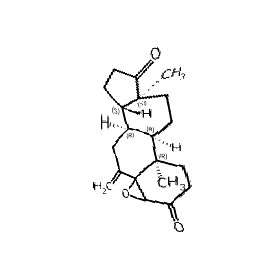 C=C1C[C@@H]2[C@@H](CC[C@]3(C)C(=O)CC[C@@H]23)[C@@]2(C)CCC(=O)C3OC132